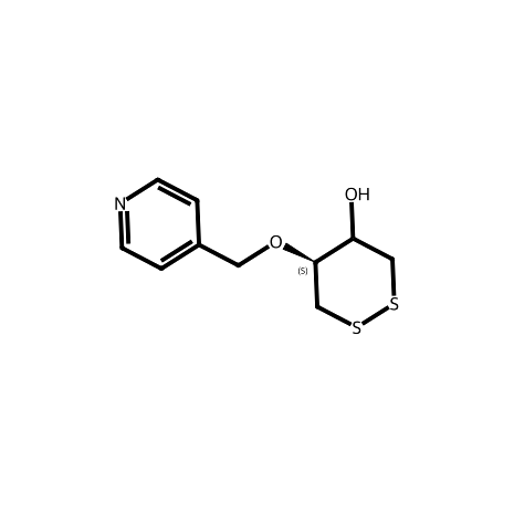 OC1CSSC[C@H]1OCc1ccncc1